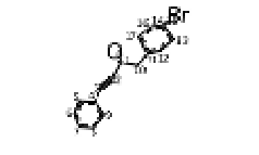 O=C(C#Cc1ccccc1)Cc1ccc(Br)cc1